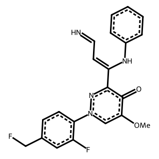 COc1cn(-c2ccc(CF)cc2F)nc(/C(=C/C=N)Nc2ccccc2)c1=O